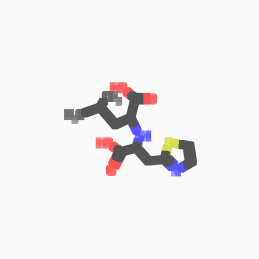 CC(C)CC(NC(Cc1nccs1)C(=O)O)C(=O)O